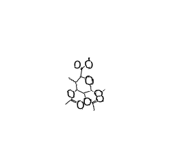 COC(=O)C1OC(OC)C(OC(C)=O)C(OC(C)=O)C1C